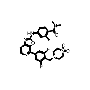 Cc1cc(Nc2nc3ccnc(-c4cc(F)c(CN5CCS(=O)(=O)CC5)c(F)c4)c3o2)ccc1C(=O)N(C)C